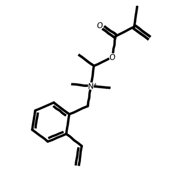 C=Cc1ccccc1C[N+](C)(C)C(C)OC(=O)C(=C)C